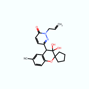 C=CCn1nc(C2c3cc(C#N)ccc3OC3(CCCC3)C2(O)O)ccc1=O